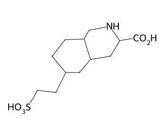 O=C(O)C1CC2CC(CCS(=O)(=O)O)CCC2CN1